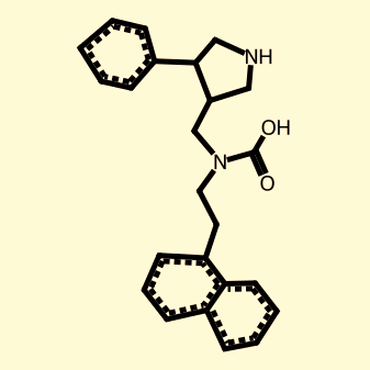 O=C(O)N(CCc1cccc2ccccc12)CC1CNCC1c1ccccc1